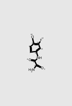 NC(=O)C(=O)Nc1ccc(Cl)c(F)c1